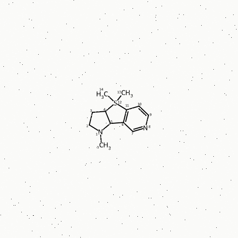 CN1CCC2C1c1cnccc1S2(C)C